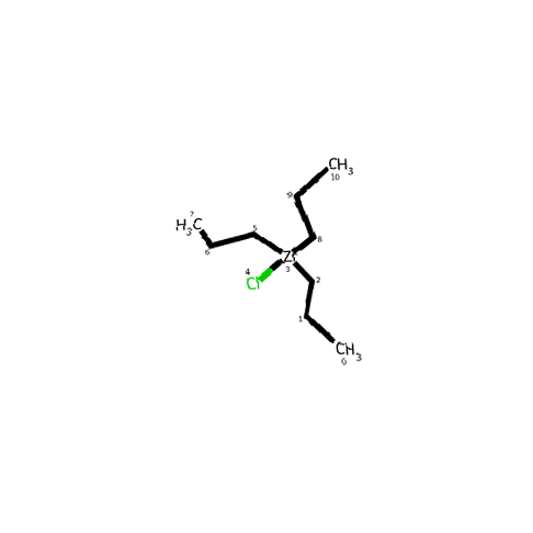 CC[CH2][Zr]([Cl])([CH2]CC)[CH2]CC